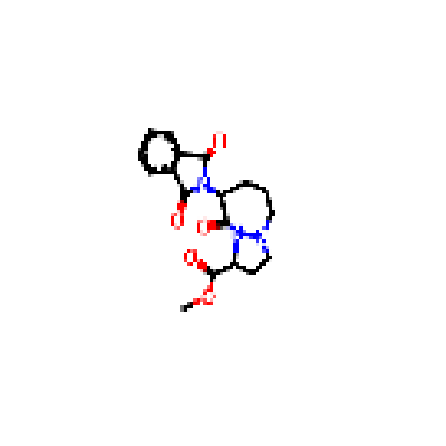 COC(=O)C1CCN2CCCC(N3C(=O)c4ccccc4C3=O)C(=O)N12